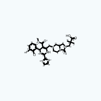 COC(=O)C1=C(CN2CCN3C(=S)N(CC(C)(C)C(=O)O)CC3C2)NC(c2nccs2)=NC1c1cccc(F)c1Cl